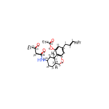 CCCC=CCc1cc2c(c(OC(=O)CC)c1)[C@@H]1CC(NC(=O)CC(=O)CC)CC[C@@H]1CO2